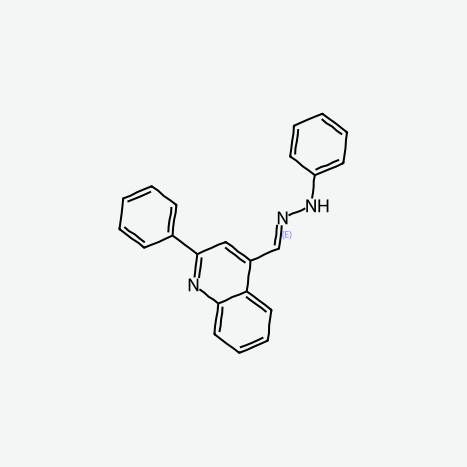 C(=N\Nc1ccccc1)/c1cc(-c2ccccc2)nc2ccccc12